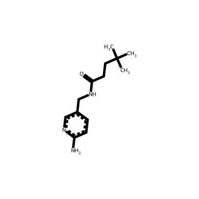 CC(C)(C)CCC(=O)NCc1ccc(N)nc1